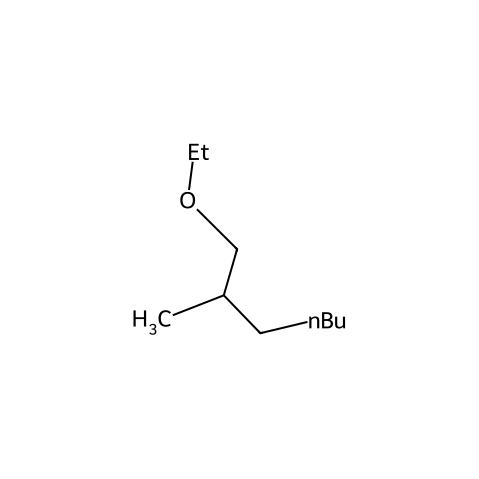 CCCCCC(C)COCC